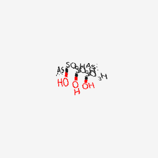 O=S(=O)(O)O.O=S(=O)(O)O.O=S(=O)(O)O.[As].[As]